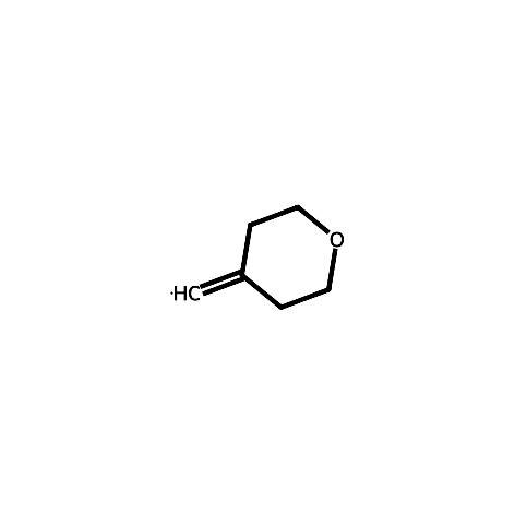 [CH]=C1CCOCC1